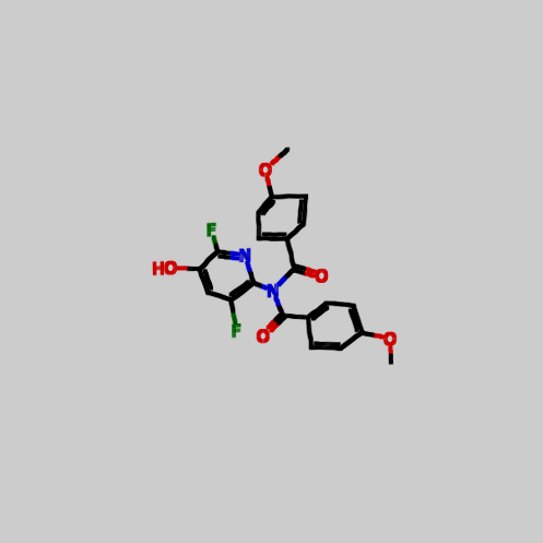 COc1ccc(C(=O)N(C(=O)c2ccc(OC)cc2)c2nc(F)c(O)cc2F)cc1